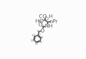 CCCC(NC(=O)OCc1ccccc1)C(O)C(=O)O